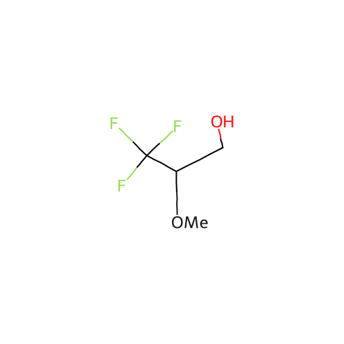 COC(CO)C(F)(F)F